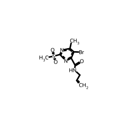 C=CCNC(=O)c1nc(S(C)(=O)=O)nc(C)c1Br